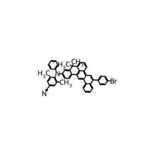 Cc1cc(C#N)cc(C)c1N(c1ccccc1)c1ccc2c(c1)C(C)(C)c1cccc3c1c-2cc1c2ccccc2c(-c2ccc(Br)cc2)cc31